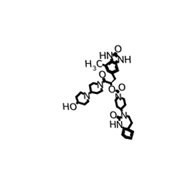 Cc1cc(C[C@@H](OC(=O)N2CCC(N3CCc4ccccc4NC3=O)CC2)C(=O)N2CCC(N3CCC(O)CC3)CC2)cc2[nH]c(=O)[nH]c12